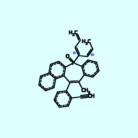 C#Cc1ccccc1C1=C(C)c2ccccc2P(=O)(C(/C=C\C)=C/C=C)c2ccc3ccccc3c21